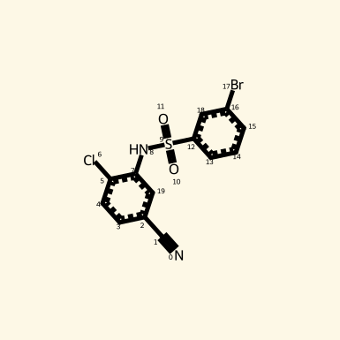 N#Cc1ccc(Cl)c(NS(=O)(=O)c2cccc(Br)c2)c1